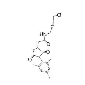 Cc1cc(C)c(C2C(=O)CC(CC(=O)NCC#CCCl)C2=O)c(C)c1